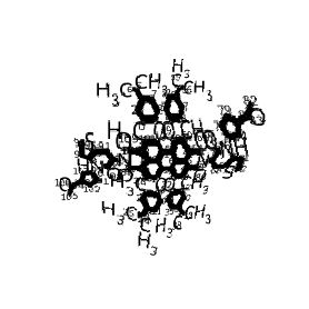 Cc1cc(C(C)C)ccc1Oc1cc2c3c(cc(Oc4ccc(C(C)C)cc4C)c4c5c(Oc6ccc(C(C)C)cc6C)cc6c7c(cc(Oc8ccc(C(C)C)cc8C)c(c1c34)c75)C(=O)N(C(Cc1cccs1)C(=O)NC1CCC(C3CO3)C1)C6=O)C(=O)N(C(Cc1cccs1)C(=O)NC1CCC(C3CO3)C1)C2=O